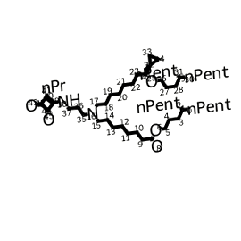 CCCCCC(CCCCC)CCCOC(=O)CCCCCCCN(CCCCCCCC(OCCCC(CCCCC)CCCCC)=C1CC1)CCCNc1c(CCC)c(=O)c1=O